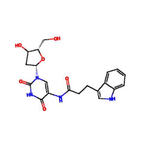 O=C(CCc1c[nH]c2ccccc12)Nc1cn([C@@H]2CC(O)[C@H](CO)O2)c(=O)[nH]c1=O